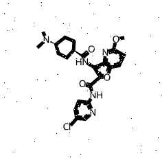 COc1ccc2oc(C(=O)Nc3ccc(Cl)cn3)c(NC(=O)[C@H]3CC[C@H](N(C)C)CC3)c2n1